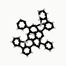 c1ccc(-c2cc3c4c(cc5c(-c6ccccc6)cc6c7c(cc2c4c57)B2c4ccccc4-c4cccc-6c42)-c2cccc4c2B3c2ccccc2-4)cc1